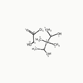 CC(O)[N+](C)(C)C(C)O.O=C([O-])CO